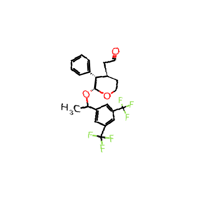 CC(O[C@H]1OCC[C@H](CC=O)[C@H]1c1ccccc1)c1cc(C(F)(F)F)cc(C(F)(F)F)c1